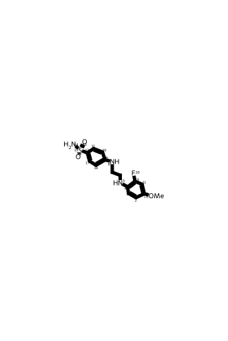 COc1ccc(NCCNc2ccc(S(N)(=O)=O)cc2)c(F)c1